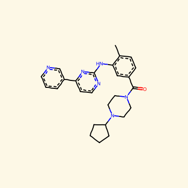 Cc1ccc(C(=O)N2CCN(C3CCCC3)CC2)cc1Nc1nccc(-c2cccnc2)n1